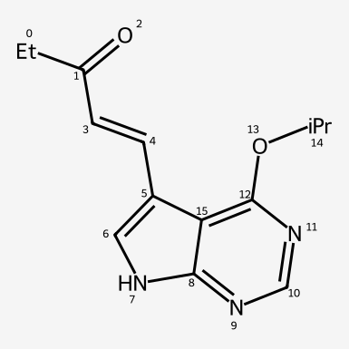 CCC(=O)C=Cc1c[nH]c2ncnc(OC(C)C)c12